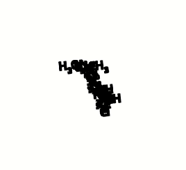 CN1CCC(N(C)C2CCN(c3ccc4nc(-c5n[nH]c6cc(Cl)ccc56)[nH]c4c3)CC2)CC1